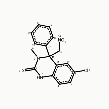 CN1C(=S)Nc2ccc(Cl)cc2C1(C[N+](=O)[O-])c1ccccc1